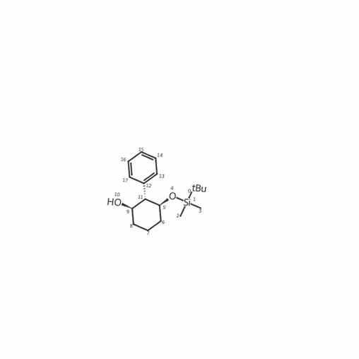 CC(C)(C)[Si](C)(C)O[C@H]1CCC[C@@H](O)[C@@H]1c1ccccc1